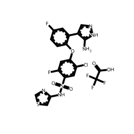 Nc1[nH]ncc1-c1cc(F)ccc1Oc1cc(F)c(S(=O)(=O)Nc2cscn2)cc1Cl.O=C(O)C(F)(F)F